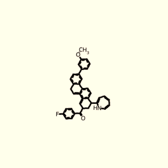 COc1cccc(-c2ccc3c(c2)-c2ccc4c(c2=CC3)=CC(C(=O)c2ccc(F)cc2)CC4C2=CC=CC=CN2)c1